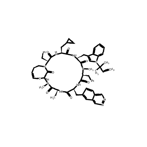 C=CC(C)(C)n1cc(C[C@@H]2NC(=O)[C@H](CC3CC3)NC(=O)[C@H](CC(C)C)N3CC/C=C\C[C@@H](C3=O)N(C)C(=O)[C@H](C)NC(=O)[C@H](Cc3ccc4cnncc4c3)NC(=O)[C@H](CC(C)C)N(C)C2=O)c2ccccc21